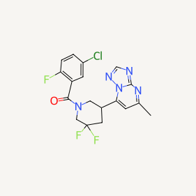 Cc1cc(C2CN(C(=O)c3cc(Cl)ccc3F)CC(F)(F)C2)n2ncnc2n1